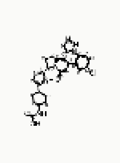 O=C(O)N[C@H]1CC[C@H](c2cnc([C@@H]3CCc4cc(-c5cc(Cl)ccc5-n5cnnn5)cc(=O)n43)[nH]2)CC1